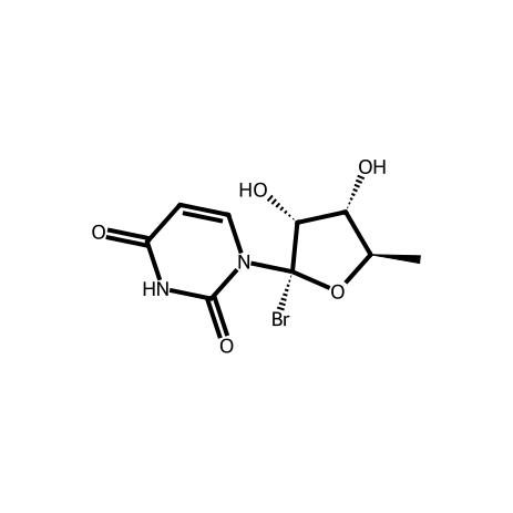 C[C@H]1O[C@@](Br)(n2ccc(=O)[nH]c2=O)[C@H](O)[C@@H]1O